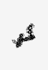 CC(C)N1CCC(c2ccc(-c3cc4c(N5CCN(C(=O)OC(CO[Si](c6ccccc6)(c6ccccc6)C(C)(C)C)C(=O)OCc6ccccc6)CC5)ccnn4c3)cc2)CC1